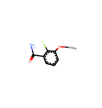 CCCCCCOc1cccc(C(N)=O)c1F